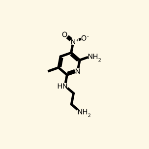 Cc1cc([N+](=O)[O-])c(N)nc1NCCN